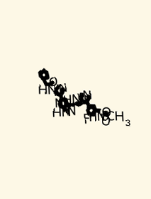 CS(=O)(=O)NCc1cc(F)cc(-c2cncc3[nH]c(-c4n[nH]c5cnc(-c6cncc(NC(=O)Cc7ccccc7)c6)cc45)cc23)c1